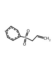 C=CCS(=O)(=O)c1cc[c]cc1